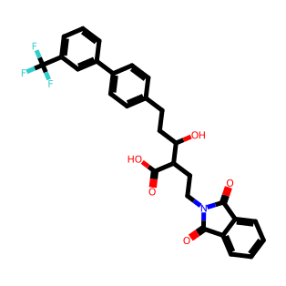 O=C(O)C(CCN1C(=O)c2ccccc2C1=O)C(O)CCc1ccc(-c2cccc(C(F)(F)F)c2)cc1